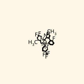 C[C@@H]1CC(F)(F)CN(C(=O)c2nn(C)cc2-c2ccccc2F)C1CNc1ccc(C(F)(F)F)cn1